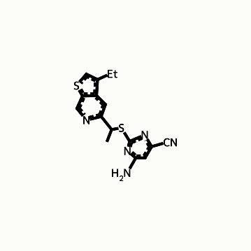 CCc1csc2cnc(C(C)Sc3nc(N)cc(C#N)n3)cc12